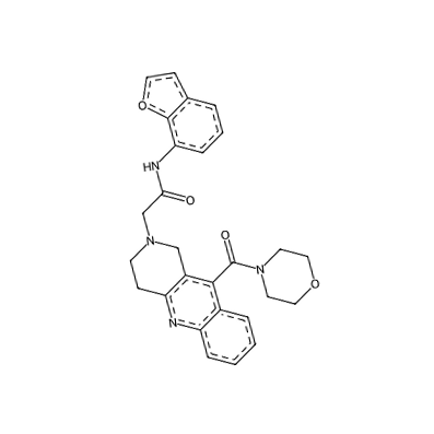 O=C(CN1CCc2nc3ccccc3c(C(=O)N3CCOCC3)c2C1)Nc1cccc2ccoc12